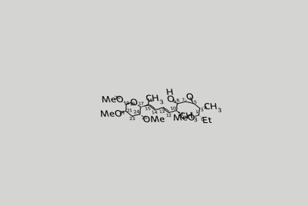 CC[C@H](OC)[C@@H](C)[C@@H]1O[C@H]1[C@H](O)[C@@H](C)/C=C/C=C(\C)[C@@H]1O[C@@H](OC)[C@H](OC)C[C@H]1OC